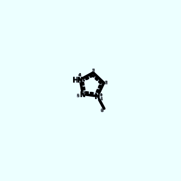 C[n+]1cc[nH]n1